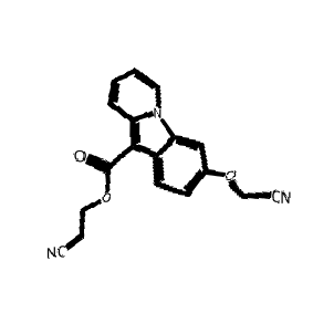 N#CCCOC(=O)c1c2ccc(OCC#N)cc2n2ccccc12